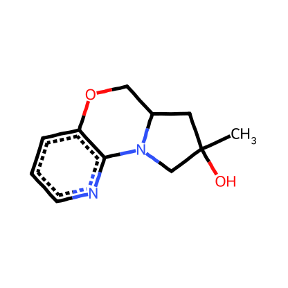 CC1(O)CC2COc3cccnc3N2C1